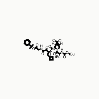 CC(C)(C)OC(=O)N[C@H](C(=O)N1C[C@H]2[C@@H]([C@H]1C(=O)NC(CC1CCC1)C(=O)C(=O)NCC(=O)OC(C)(C)c1ccccc1)C2(Cl)Cl)C(C)(C)C